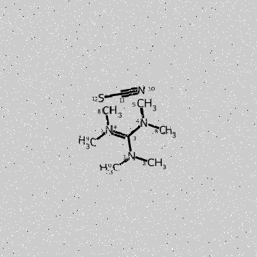 CN(C)C(N(C)C)=[N+](C)C.N#C[S-]